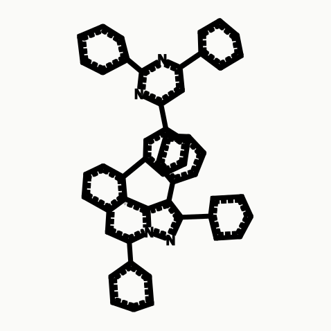 c1ccc(-c2cc(-c3cccc(-c4cccc5cc(-c6ccccc6)n6nc(-c7ccccc7)c(-c7ccccc7)c6c45)c3)nc(-c3ccccc3)n2)cc1